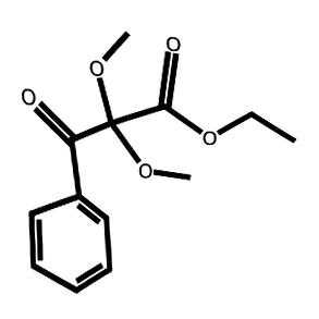 CCOC(=O)C(OC)(OC)C(=O)c1ccccc1